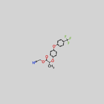 CC(Oc1ccc(Oc2ccc(C(F)(F)F)cc2)cc1)C(=O)OCC#N